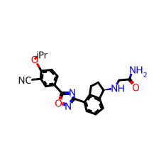 CC(C)Oc1ccc(-c2nc(-c3cccc4c3CC[C@H]4NCC(N)=O)no2)cc1C#N